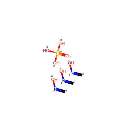 C=NO.C=NO.C=NO.O=P(O)(O)O